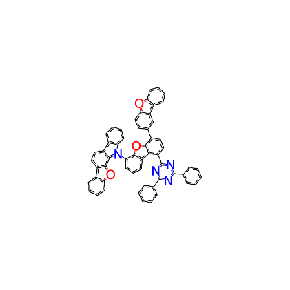 c1ccc(-c2nc(-c3ccccc3)nc(-c3ccc(-c4ccc5oc6ccccc6c5c4)c4oc5c(-n6c7ccccc7c7ccc8c9ccccc9oc8c76)cccc5c34)n2)cc1